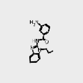 CCCn1c(NC(=O)c2cccc(N)c2)nc2ccccc21